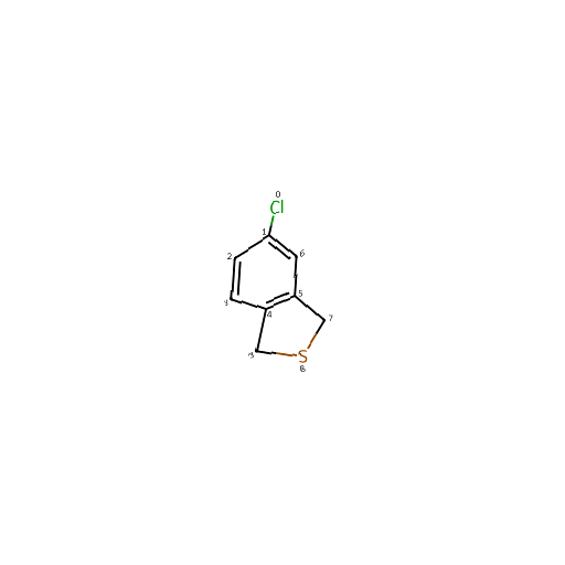 Clc1ccc2c(c1)CSC2